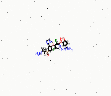 CN1CC=NC1c1cc([S+]([O-])C(C)(C)C(N)C(=O)O)ccc1Oc1c(F)cnc(Oc2cc(C(=N)N)ccc2O)c1F